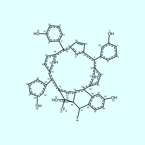 Oc1cccc(-c2c3nc(c(-c4cccc(O)c4)c4ccc([nH]4)c(-c4cccc(O)c4)c4nc5c(c6ccc2[nH]6)-c2cc(O)ccc2C(F)C5(O)C4(O)C(F)(F)F)C=C3)c1